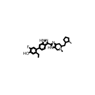 CCc1cc(O)c(F)cc1-c1ccc2c(-c3nc4c([nH]3)CN(C)C(CC3CCC[C@H]3C)C4)n[nH]c2c1